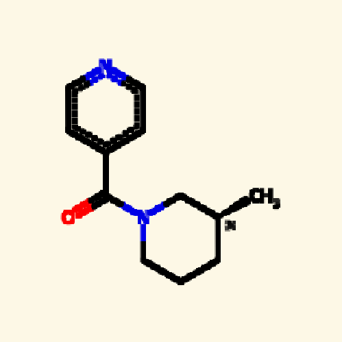 C[C@H]1CCCN(C(=O)c2ccncc2)C1